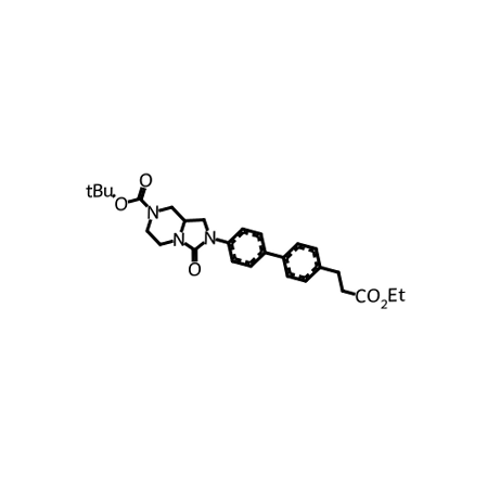 CCOC(=O)CCc1ccc(-c2ccc(N3CC4CN(C(=O)OC(C)(C)C)CCN4C3=O)cc2)cc1